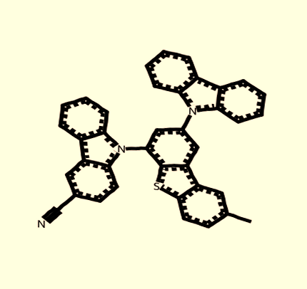 Cc1ccc2sc3c(-n4c5ccccc5c5cc(C#N)ccc54)cc(-n4c5ccccc5c5ccccc54)cc3c2c1